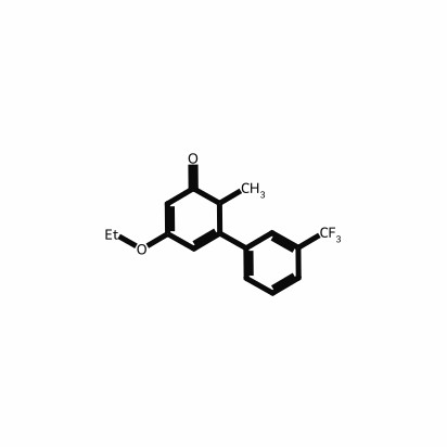 CCOC1=CC(=O)C(C)C(c2cccc(C(F)(F)F)c2)=C1